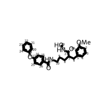 COc1cccc(CC(CCCNC(=O)c2ccc(Oc3ccccc3)cc2)C(=O)NO)c1